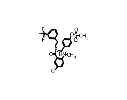 CNc1ccc(Cl)cc1C(=O)N(CCc1cccc(C(F)(F)F)c1)Cc1ccc(OS(C)(=O)=O)cc1